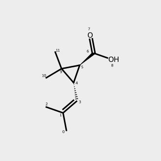 CC(C)=C[C@H]1[C@H](C(=O)O)C1(C)C